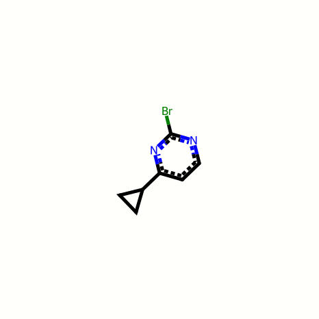 Brc1nccc(C2CC2)n1